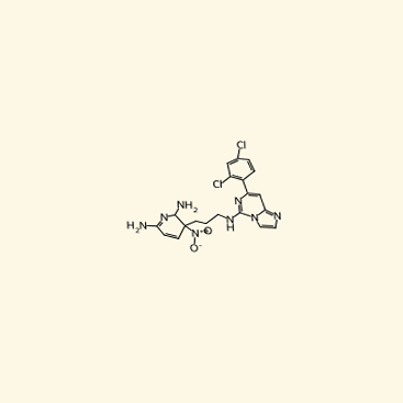 NC1=NC(N)C(CCCNc2nc(-c3ccc(Cl)cc3Cl)cc3nccn23)([N+](=O)[O-])C=C1